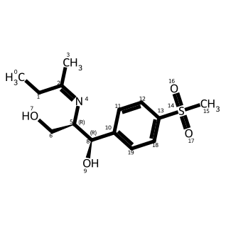 CCC(C)=N[C@H](CO)[C@H](O)c1ccc(S(C)(=O)=O)cc1